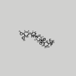 COc1ccc(-c2csc(N3CCN(S(=O)(=O)c4cccc(C(F)(F)F)c4)CC3)n2)cc1OC